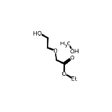 CCOC(=O)COCCO.CO